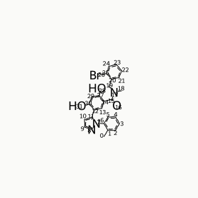 Cc1ccccc1-n1nccc1-c1cc(C(=O)N(C)Cc2ccccc2Br)c(O)cc1O